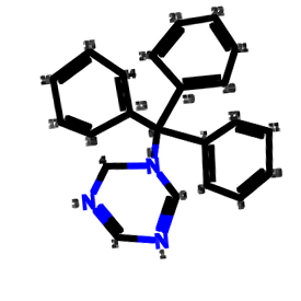 C1=NC=NCN1C(c1ccccc1)(c1ccccc1)c1ccccc1